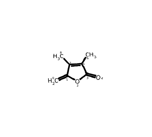 C=C1OC(=O)C(C)=C1C